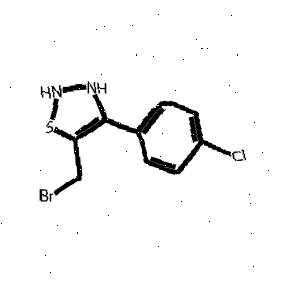 Clc1ccc(C2=C(CBr)SNN2)cc1